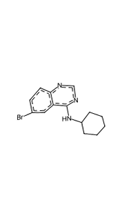 Brc1ccc2ncnc(NC3CCCCC3)c2c1